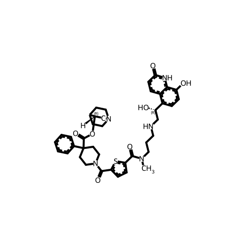 CN(CCCNC[C@H](O)c1ccc(O)c2[nH]c(=O)ccc12)C(=O)c1ccc(C(=O)N2CCC(C(=O)O[C@H]3CN4CCC3CC4)(c3ccccc3)CC2)s1